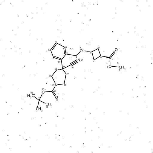 COC(=O)[C@H]1C[C@H](OCc2ccccc2C2(C#N)CCN(C(=O)OC(C)(C)C)CC2)C1